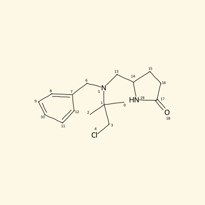 CC(C)(CCl)N(Cc1ccccc1)CC1CCC(=O)N1